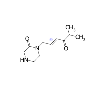 CC(C)C(=O)/C=C/CN1CCNCC1=O